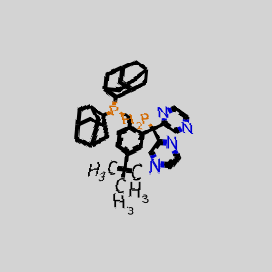 CC(C)(C)c1ccc(CP(C2C3CC4CC(C3)CC2C4)C2C3CC4CC(C3)CC2C4)c(C(P)(c2cnccn2)c2cnccn2)c1